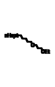 CCCCCCCCCCCCOCCCOCC